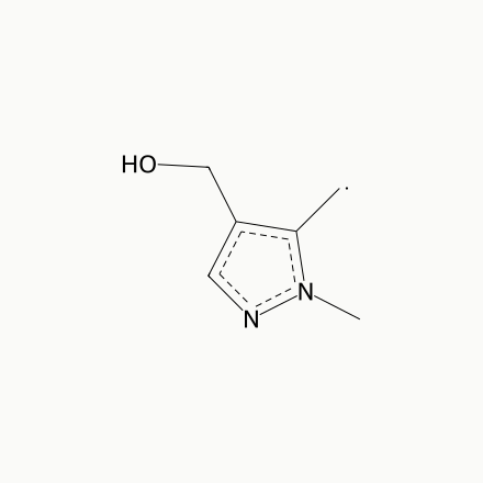 [CH2]c1c(CO)cnn1C